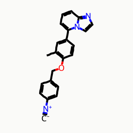 [C-]#[N+]c1ccc(COc2ccc(-c3cccc4nccn34)cc2C)cc1